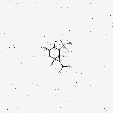 C=C1C[C@H]2[C@H](C(C)C)[C@H]2[C@H]2[C@@H]1CC[C@@]2(C)O